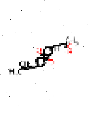 CC(C)=CCCC1=CCC(C=O)(C2(C=O)CC=C(CCCC(C)(C)O)CC2)CC1